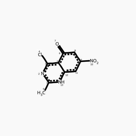 Cc1nc(Cl)c2c(=O)cc([N+](=O)[O-])cc-2[nH]1